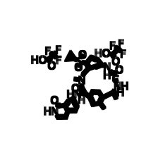 Cc1cc2ccc1[C@@H](C)NCC(=O)Nc1ccc(S(=O)(=O)C3CC3)c(c1)CN(C)C(=O)[C@@H]2Nc1ccc2cc[nH]c(=O)c2c1.O=C(O)C(F)(F)F.O=C(O)C(F)(F)F